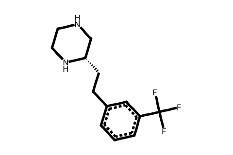 FC(F)(F)c1cccc(CC[C@H]2CNCCN2)c1